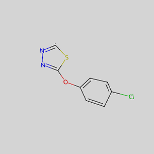 Clc1ccc(Oc2nn[c]s2)cc1